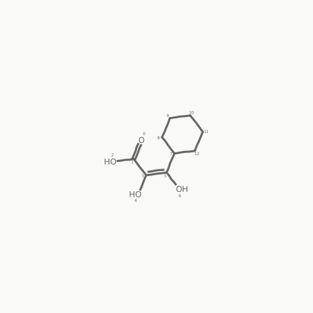 O=C(O)/C(O)=C(/O)C1CCCCC1